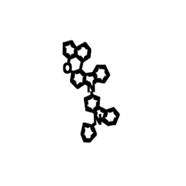 c1ccc(-n2c3ccccc3c3cc(-n4c5ccccc5c5c6c(ccc54)Oc4cccc5cccc-6c45)ccc32)cc1